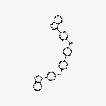 c1ccc2c(-c3ccc(Nc4ccc(-c5ccc(Nc6ccc(-c7csc8ccccc78)cc6)cc5)cc4)cc3)csc2c1